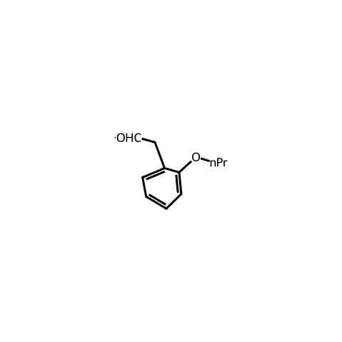 CCCOc1ccccc1C[C]=O